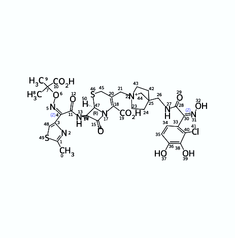 Cc1nc(/C(=N/OC(C)(C)C(=O)O)C(=O)N[C@@H]2C(=O)N3C(C(=O)O)=C(C[N+]45CCC(CNC(=O)/C(=N\O)c6ccc(O)c(O)c6Cl)(CC4)C5)CS[C@H]23)cs1